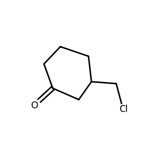 O=C1CCCC(CCl)C1